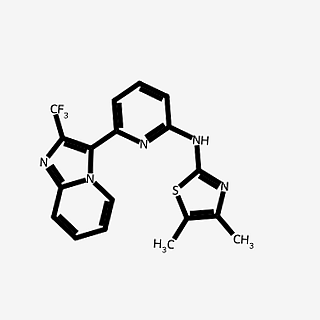 Cc1nc(Nc2cccc(-c3c(C(F)(F)F)nc4ccccn34)n2)sc1C